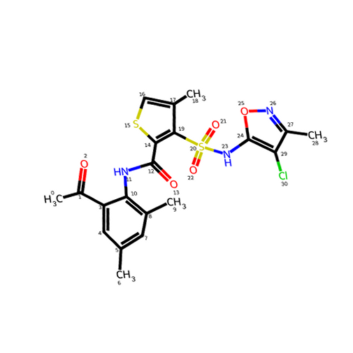 CC(=O)c1cc(C)cc(C)c1NC(=O)c1scc(C)c1S(=O)(=O)Nc1onc(C)c1Cl